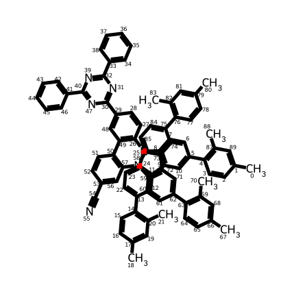 Cc1ccc(-c2ccc3c(c2)c2cc(-c4ccc(C)cc4C)ccc2n3-c2ccc(-c3nc(-c4ccccc4)nc(-c4ccccc4)n3)cc2-c2ccc(C#N)cc2-n2c3ccc(-c4ccc(C)cc4C)cc3c3cc(-c4ccc(C)cc4C)ccc32)c(C)c1